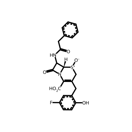 O=C(Cc1ccccc1)NC1C(=O)N2C(C(=O)O)=C(Cc3cc(F)ccc3O)C[S+]([O-])[C@@H]12